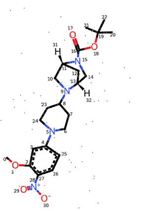 COc1cc(N2CCC(N3C[C@H]4C[C@@H]3CN4C(=O)OC(C)(C)C)CC2)ccc1[N+](=O)[O-]